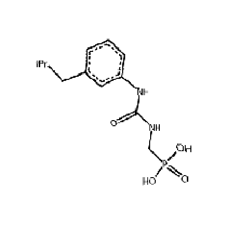 CC(C)Cc1cccc(NC(=O)NCP(=O)(O)O)c1